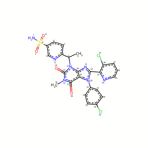 CC(c1ccc(S(N)(=O)=O)cn1)n1c(=O)n(C)c(=O)c2c1nc(-c1ncccc1Cl)n2-c1ccc(Cl)cc1